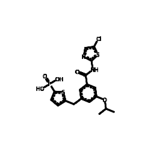 CC(C)Oc1cc(Cc2ccc(P(=O)(O)O)s2)cc(C(=O)Nc2ncc(Cl)s2)c1